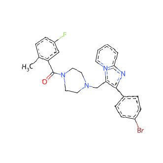 Cc1ccc(F)cc1C(=O)N1CCN(Cc2c(-c3ccc(Br)cc3)nc3ccccn23)CC1